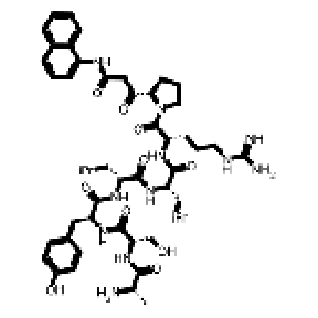 CC(C)C[C@H](NC(=O)[C@@H](CC(C)C)NC(=O)[C@H](Cc1ccc(O)cc1)NC(=O)[C@H](CO)NC(=O)[C@H](C)N)C(=O)N[C@@H](CCCNC(=N)N)C(=O)N1CCC[C@H]1C(=O)CC(=O)Nc1cccc2ccccc12